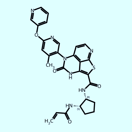 C=CC(=O)N[C@H]1CCC[C@H]1NC(=O)c1sc2nccc3c2c1NC(=O)N3c1cnc(Oc2cccnc2)cc1C